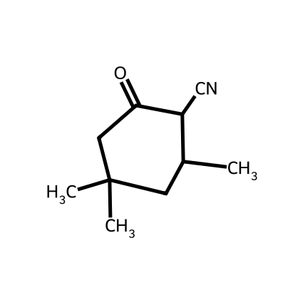 CC1CC(C)(C)CC(=O)C1C#N